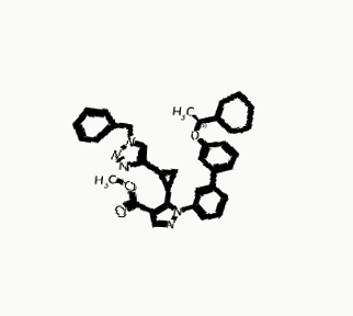 COC(=O)c1cnn(-c2cccc(-c3cccc(O[C@@H](C)C4CCCCC4)c3)c2)c1C1CC1c1cn(Cc2ccccc2)nn1